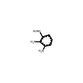 CC(=O)Nc1cccc(N)c1N